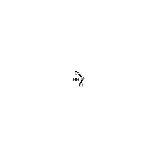 CC[B]CC.[HH]